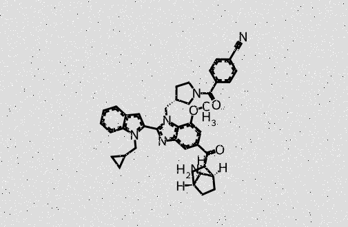 COc1cc(C(=O)C2C[C@H]3CC[C@H]2[C@@H]3N)cc2nc(-c3cc4ccccc4n3CC3CC3)n(C[C@@H]3CCN(C(=O)c4ccc(C#N)cc4)C3)c12